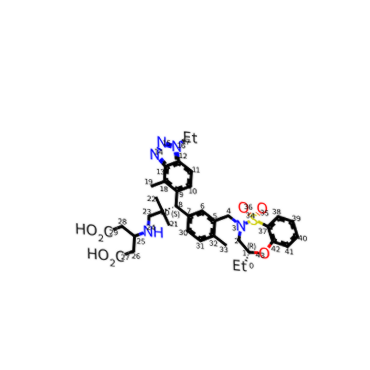 CC[C@@H]1CN(Cc2cc([C@@H](c3ccc4c(nnn4CC)c3C)C(C)(C)CNC(CC(=O)O)CC(=O)O)ccc2C)S(=O)(=O)c2ccccc2O1